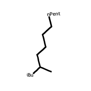 CCCCCCCCCC(C)[C](C)CC